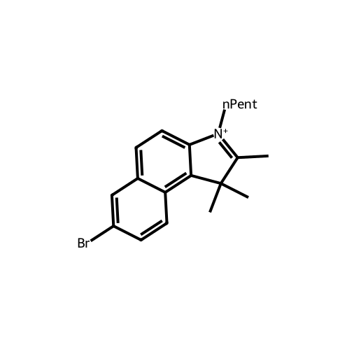 CCCCC[N+]1=C(C)C(C)(C)c2c1ccc1cc(Br)ccc21